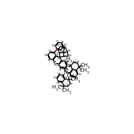 CC1(C)CCC(C)(C)c2c(N(c3ccc4c(c3)Sc3cccc(-c5ccccc5)c3C43C4CC5CC6CC3C64C5)c3cccc4c3C(C)(C)CCC4(C)C)cccc21